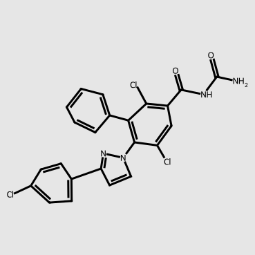 NC(=O)NC(=O)c1cc(Cl)c(-n2ccc(-c3ccc(Cl)cc3)n2)c(-c2ccccc2)c1Cl